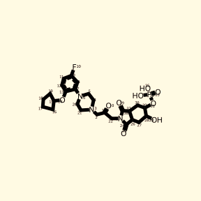 O=C(CN1CCN(c2cc(F)ccc2OC2CCCC2)CC1)CN1C(=O)C2CC(O)C(OP(=O)(O)O)CC2C1=O